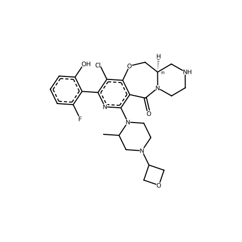 CC1CN(C2COC2)CCN1c1nc(-c2c(O)cccc2F)c(Cl)c2c1C(=O)N1CCNC[C@@H]1CO2